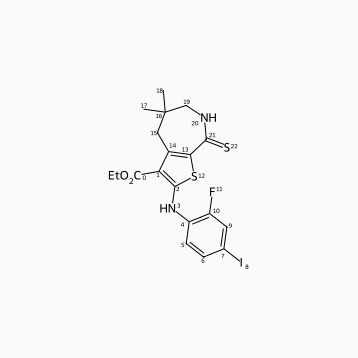 CCOC(=O)c1c(Nc2ccc(I)cc2F)sc2c1CC(C)(C)CNC2=S